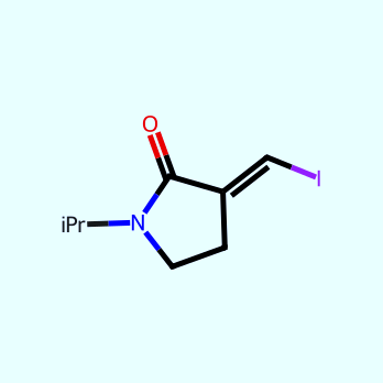 CC(C)N1CCC(=CI)C1=O